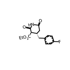 CCOC(=O)[C@H]1C(=O)NC(=O)C[C@@H]1Cc1ccc(F)cc1